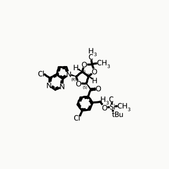 CC1(C)O[C@@H]2[C@H](O1)[C@@H](C(=O)c1ccc(Cl)cc1CO[Si](C)(C)C(C)(C)C)O[C@H]2n1ccc2c(Cl)ncnc21